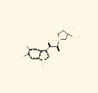 C[C@@]1(O)CCN(C(=O)C(=O)c2c[nH]c3cc(F)c(F)cc23)C1